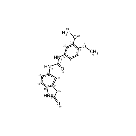 COc1ccc(NC(=O)Nc2ccc3c(c2)CC(=O)N3)cc1OC